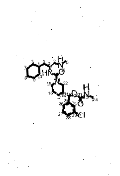 CNC[C@H](CC1CCCCC1)NC(=O)N1CCC[C@@H](C(OC(=O)NC)c2cccc(Cl)c2)C1